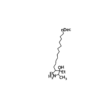 CCCCCCCCCCCCCCCCCCCCCCC(CC)C(O)(CC)C(C)N